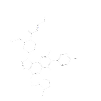 Cc1ccc(-c2c(C)cc3c(nc(O[C@@H](C)[C@@H]4CCCN4C)c4nnn([C@H]5CCN(C(=O)/C=C/CF)[C@H](CC#N)C5)c43)c2F)cn1